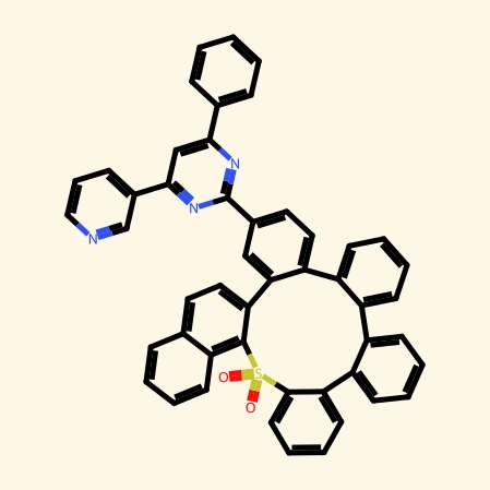 O=S1(=O)c2ccccc2-c2ccccc2-c2ccccc2-c2ccc(-c3nc(-c4ccccc4)cc(-c4cccnc4)n3)cc2-c2ccc3ccccc3c21